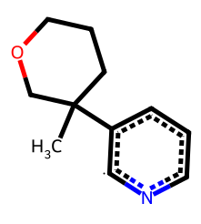 CC1(c2[c]nccc2)CCCOC1